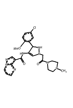 COc1ccc(Cl)cc1C1NN(CC(=O)N2CCN(C)CC2)C=C1NC(=O)c1cnn2cccnc12